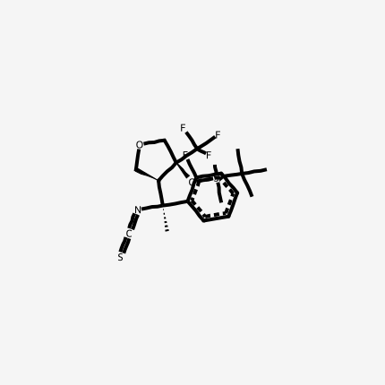 CC(C)(C)[Si](C)(C)O[C@]1(C(F)(F)F)COC[C@@H]1[C@](C)(N=C=S)c1ccccc1F